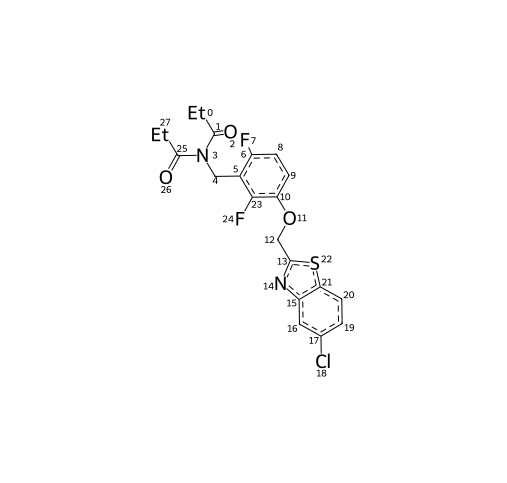 CCC(=O)N(Cc1c(F)ccc(OCc2nc3cc(Cl)ccc3s2)c1F)C(=O)CC